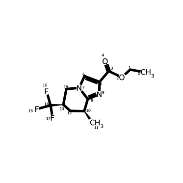 CCOC(=O)c1cn2c(n1)[C@@H](C)C[C@@H](C(F)(F)F)C2